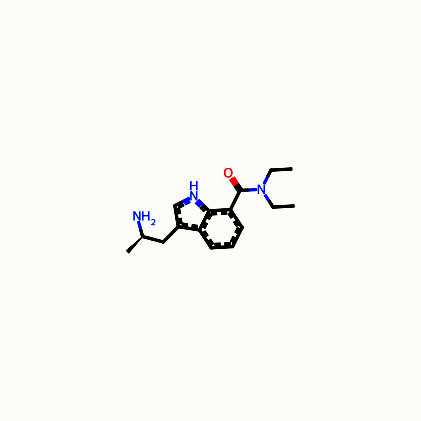 CCN(CC)C(=O)c1cccc2c(C[C@@H](C)N)c[nH]c12